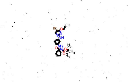 C#CCOc1nc(Nc2cccc(NC(=O)C3(NC(=O)OC(C)(C)C)CCCCC3)c2)ncc1Br